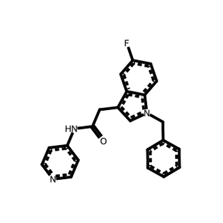 O=C(Cc1cn(Cc2ccccc2)c2ccc(F)cc12)Nc1ccncc1